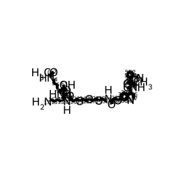 CC(=O)NCCCC[C@H](NC(=O)[C@H](CCCCN)NC(=O)CCOCCOCCOCCNC(=O)COc1ccc2c(C(=O)N[C@H](C)C(=O)N3CCC[C@H]3C#N)ccnc2c1)C(=O)O